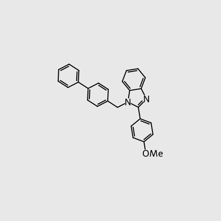 COc1ccc(-c2nc3ccccc3n2Cc2ccc(-c3ccccc3)cc2)cc1